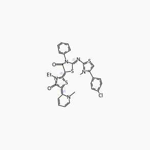 CCn1c(=O)/c(=C2\C=CC=CN2C)s/c1=C1\S/C(=N\c2scc(-c3ccc(Cl)cc3)[n+]2C)N(c2ccccc2)C1=O